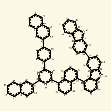 c1ccc2cc(-c3ccc(-c4nc(-c5ccc6ccccc6c5)nc(-c5cccc6c(-c7cccc8oc9ccc(-c%10ccc%11c(c%10)oc%10ccccc%10%11)cc9c78)cccc56)n4)cc3)ccc2c1